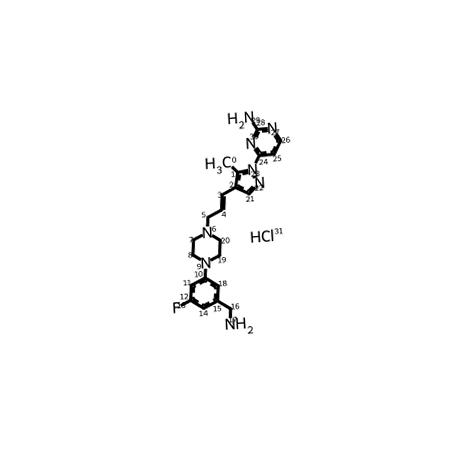 Cc1c(C=CCN2CCN(c3cc(F)cc(CN)c3)CC2)cnn1-c1ccnc(N)n1.Cl